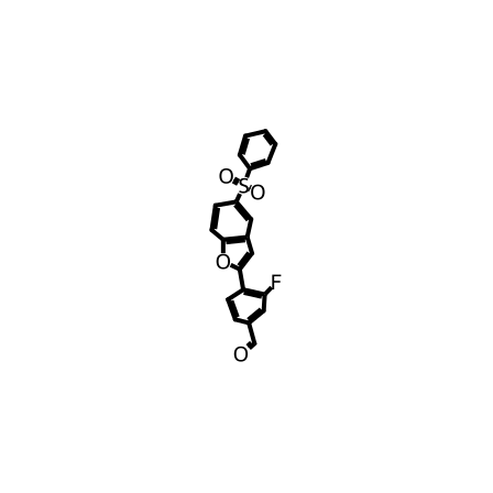 O=Cc1ccc(-c2cc3cc(S(=O)(=O)c4ccccc4)ccc3o2)c(F)c1